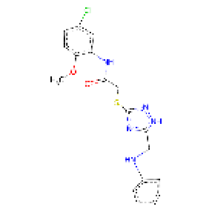 COc1ccc(Cl)cc1NC(=O)CSc1n[nH]c(CNc2ccccc2)n1